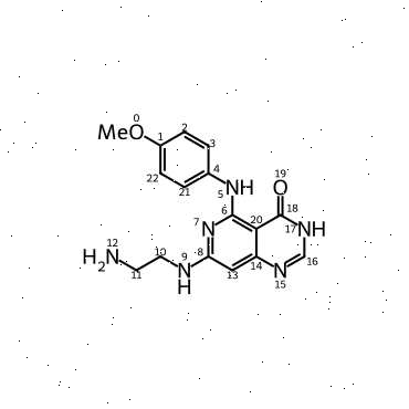 COc1ccc(Nc2nc(NCCN)cc3nc[nH]c(=O)c23)cc1